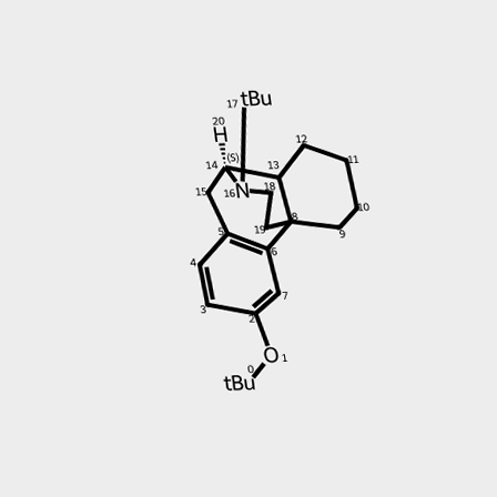 CC(C)(C)Oc1ccc2c(c1)C13CCCCC1[C@H](C2)N(C(C)(C)C)CC3